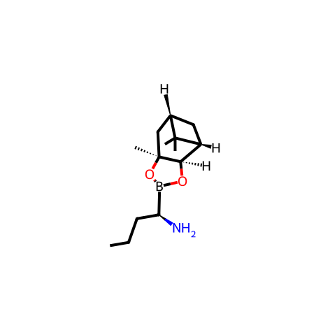 CCC[C@H](N)B1O[C@@H]2[C@H]3C[C@@H](C[C@]2(C)O1)C3(C)C